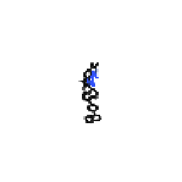 Cc1cnc2c(ccc3c(C)c(C)c(-c4cccc5c(-c6ccc(-c7cccc8ccccc78)cc6)cccc45)nc32)c1C